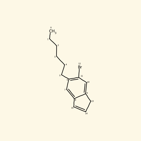 CCCCCCc1cc2c(cc1Br)CC=C2